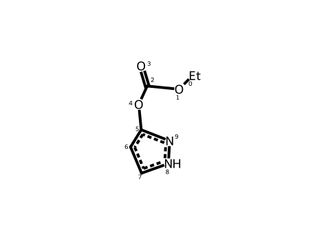 CCOC(=O)Oc1cc[nH]n1